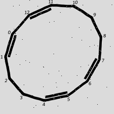 [C]1=CCCC=CC=CCCCC=C1